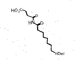 CCCCCCCCCCCCCCCCCC(=O)NC(=O)CCC(=O)O